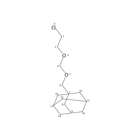 ClCCOCOCC12CC3CC(CC(C3)C1)C2